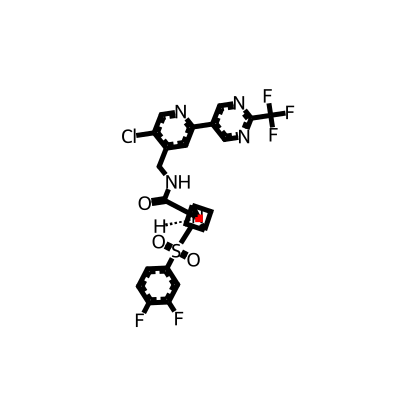 O=C(NCc1cc(-c2cnc(C(F)(F)F)nc2)ncc1Cl)[C@@H]1C2CC(C2)N1S(=O)(=O)c1ccc(F)c(F)c1